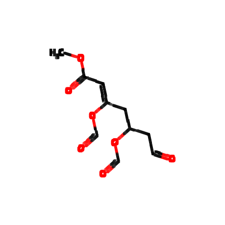 COC(=O)C=C(CC(CC=O)OC=O)OC=O